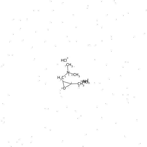 CC1CO1.CN(C)C.Cl.Cl.N